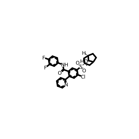 C[C@@]1(O)C2CC[C@@H]1C[C@@H](S(=O)(=O)c1cc(C(=O)Nc3ccc(F)c(F)c3)c(-c3ccccn3)cc1Cl)C2